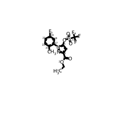 CCOC(=O)c1cc(OS(=O)(=O)C(F)(F)F)n(-c2cc(F)ccc2C)n1